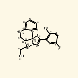 CC(=O)N1N=C(c2cc(F)ccc2F)S[C@@]12c1ccccc1NC[C@@H]2CCO